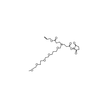 C=CCOC(=O)CCN(CCC(=O)ON1C(=O)CCC1=O)COCCCOCCOCCOCCOC